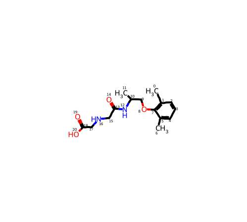 Cc1cccc(C)c1OCC(C)NC(=O)CNCC(=O)O